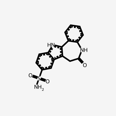 NS(=O)(=O)c1ccc2[nH]c3c(c2c1)CC(=O)Nc1ccccc1-3